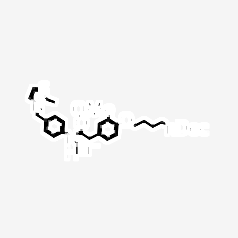 CCCCCCCCCCCCCCOc1ccc(CC(=O)Nc2ccc(C[n+]3ccsc3C)cc2)cc1OC.[Br-]